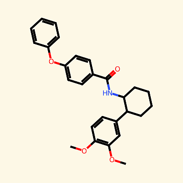 COc1ccc(C2CCCCC2NC(=O)c2ccc(Oc3ccccc3)cc2)cc1OC